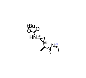 C=C([C@@H]1C[C@H]1NC(=O)OC(C)(C)C)N(C)/N=C\C